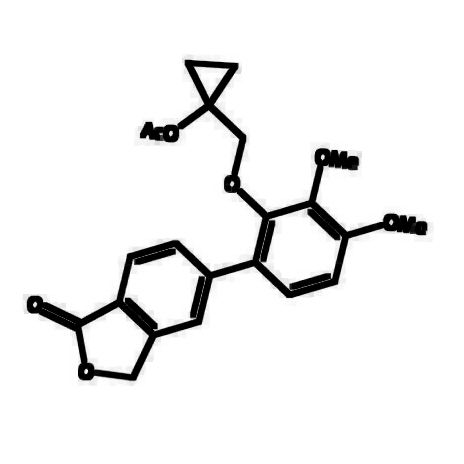 COc1ccc(-c2ccc3c(c2)COC3=O)c(OCC2(OC(C)=O)CC2)c1OC